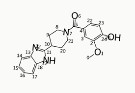 COc1cc(C(=O)N2CCC(c3nc4ccccc4[nH]3)CC2)ccc1O